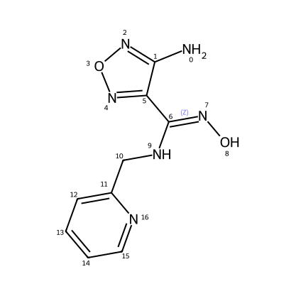 Nc1nonc1/C(=N/O)NCc1ccccn1